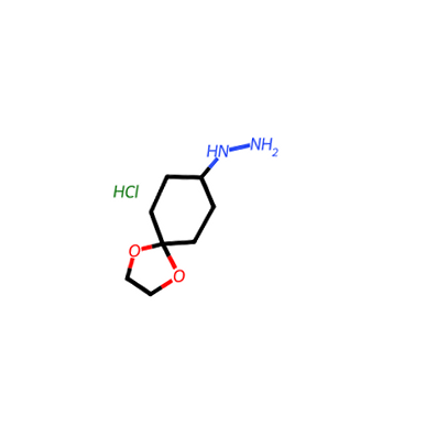 Cl.NNC1CCC2(CC1)OCCO2